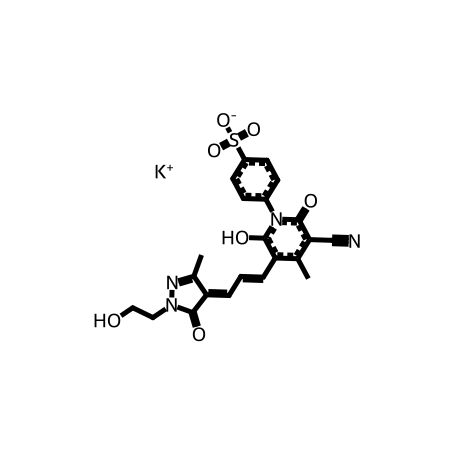 CC1=NN(CCO)C(=O)C1=CC=Cc1c(C)c(C#N)c(=O)n(-c2ccc(S(=O)(=O)[O-])cc2)c1O.[K+]